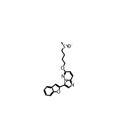 C[S+]([O-])CCCCOc1ccc2ncc(-c3cc4ccccc4o3)n2n1